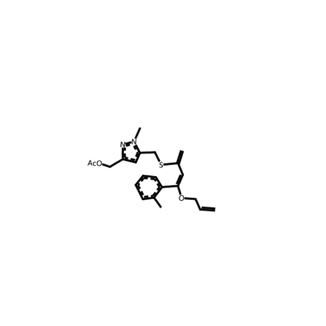 C=CCO/C(=C/C(=C)SCc1cc(COC(C)=O)nn1C)c1ccccc1C